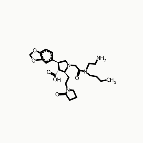 CCCCN(CCN)C(=O)CN1C[C@H](c2ccc3c(c2)OCO3)[C@@H](C(=O)O)[C@@H]1CCN1CCCC1=O